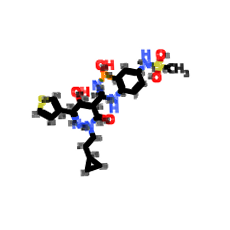 CS(=O)(=O)Nc1ccc2c(c1)P(O)N=C(c1c(O)c(-c3ccsc3)nn(CCC3CC3)c1=O)N2